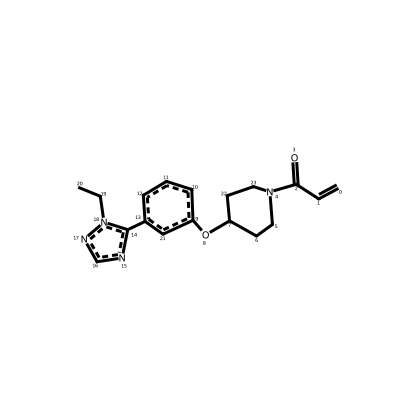 C=CC(=O)N1CCC(Oc2cccc(-c3ncnn3CC)c2)CC1